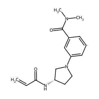 C=CC(=O)N[C@H]1CCN(c2c[c]cc(C(=O)N(C)C)c2)C1